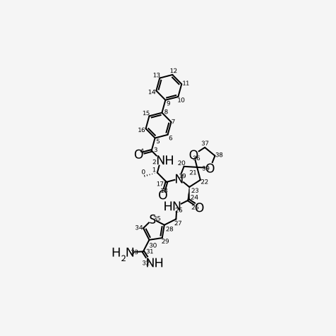 C[C@H](NC(=O)c1ccc(-c2ccccc2)cc1)C(=O)N1CC2(C[C@H]1C(=O)NCc1cc(C(=N)N)cs1)OCCO2